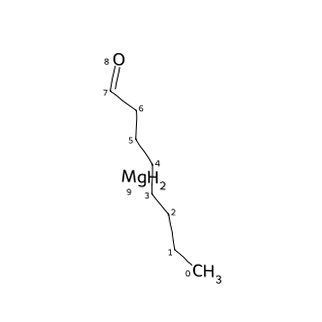 CCCCCCCC=O.[MgH2]